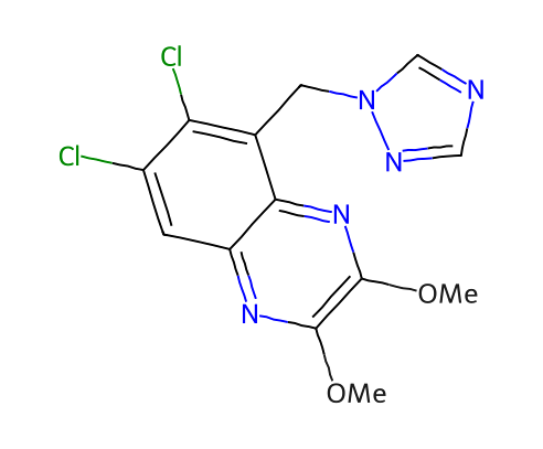 COc1nc2cc(Cl)c(Cl)c(Cn3cncn3)c2nc1OC